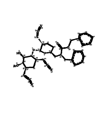 CC(=O)O[C@@H]1[C@@H](O)[C@H](O[C@H]2O[C@H](CN(Cc3ccccc3)C(=O)OCc3ccccc3)CC[C@H]2N=[N+]=[N-])[C@@H](N=[N+]=[N-])C[C@H]1N=[N+]=[N-]